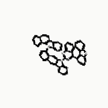 c1cc(-n2c3ccccc3c3ccc4ccccc4c32)c2cc3c(cc2c1)c1ccccc1n3-c1nc(-c2cccc3sc4ccccc4c23)c2ccccc2n1